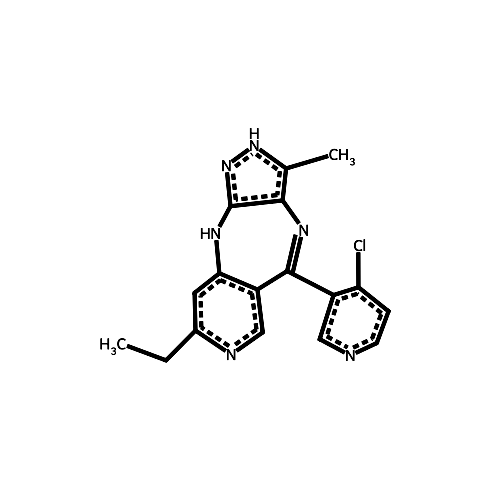 CCc1cc2c(cn1)C(c1cnccc1Cl)=Nc1c(n[nH]c1C)N2